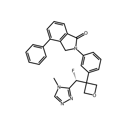 Cn1cnnc1[C@H](F)C1(c2cccc(N3Cc4c(cccc4-c4ccccc4)C3=O)c2)COC1